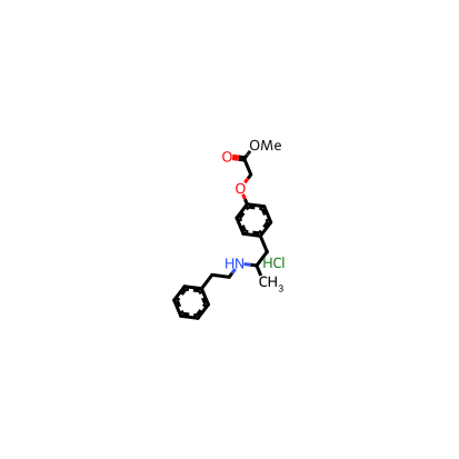 COC(=O)COc1ccc(CC(C)NCCc2ccccc2)cc1.Cl